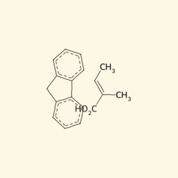 CC=C(C)C(=O)O.c1ccc2c(c1)Cc1ccccc1-2